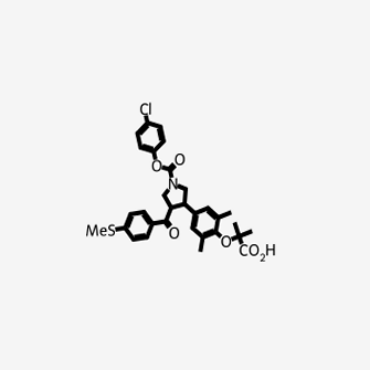 CSc1ccc(C(=O)C2CN(C(=O)Oc3ccc(Cl)cc3)CC2c2cc(C)c(OC(C)(C)C(=O)O)c(C)c2)cc1